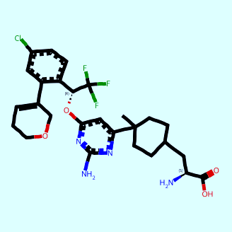 CC1(c2cc(O[C@H](c3ccc(Cl)cc3C3=CCCOC3)C(F)(F)F)nc(N)n2)CCC(C[C@H](N)C(=O)O)CC1